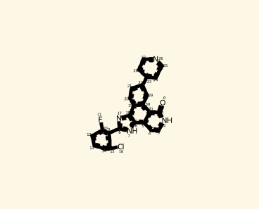 O=c1[nH]ccc2c3[nH]c(-c4c(F)cccc4Cl)nc3c3ccc(-c4ccncc4)cc3c12